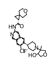 CC1(N2CC[C@H](c3cc4cc(NC(=O)[C@@H]5CC56CCOCC6)ncc4cc3Cl)[C@@H](F)C2)COCC1O